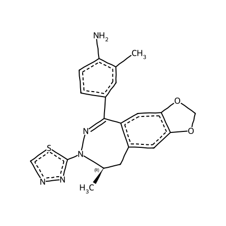 Cc1cc(C2=NN(c3nncs3)[C@H](C)Cc3cc4c(cc32)OCO4)ccc1N